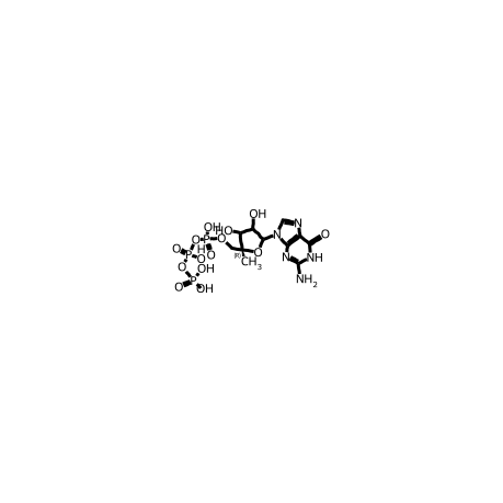 C[C@]1(COP(=O)(O)OP(=O)(O)OP(=O)(O)O)OC(n2cnc3c(=O)[nH]c(N)nc32)C(O)C1O